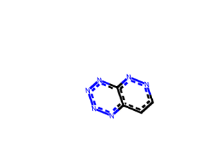 c1cc2nnnnc2nn1